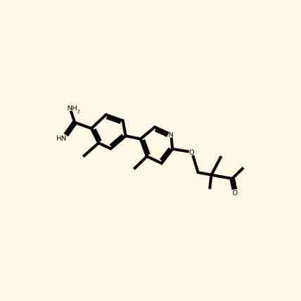 CC(=O)C(C)(C)COc1cc(C)c(-c2ccc(C(=N)N)c(C)c2)cn1